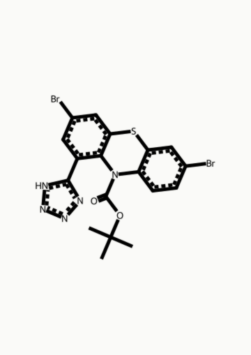 CC(C)(C)OC(=O)N1c2ccc(Br)cc2Sc2cc(Br)cc(-c3nnn[nH]3)c21